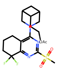 CC(=O)OCCC1C2CC1CN(c1nc(S(C)(=O)=O)nc3c1CCCC3(F)F)C2